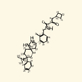 Cc1c(CNC(=O)C(=O)CC2CCC2)cccc1[C@@H]1CC2(CCC(c3ccccc3)(N(C)C)CC2)NN1